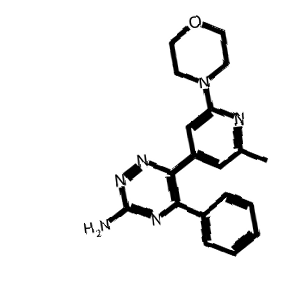 Cc1cc(-c2nnc(N)nc2-c2ccccc2)cc(N2CCOCC2)n1